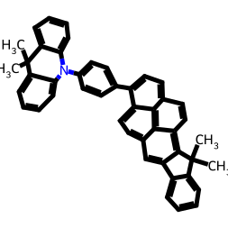 CC1(C)c2ccccc2N(c2ccc(-c3ccc4ccc5c6c(cc7ccc3c4c75)-c3ccccc3C6(C)C)cc2)c2ccccc21